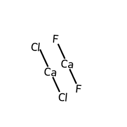 [Cl][Ca][Cl].[F][Ca][F]